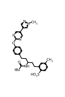 Cc1ccc(S(=O)(=O)O)c(CCC(CCc2ccc(Oc3ncc(-c4cnn(C)c4)cn3)cc2)NC(=O)C(C)(C)C)c1